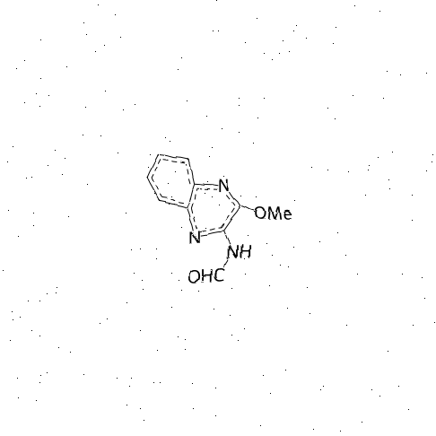 COc1nc2ccccc2nc1NC=O